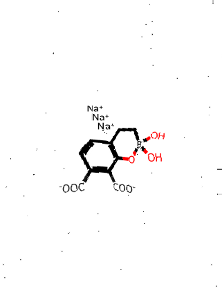 O=C([O-])c1ccc2c(c1C(=O)[O-])O[B-](O)(O)CC2.[Na+].[Na+].[Na+]